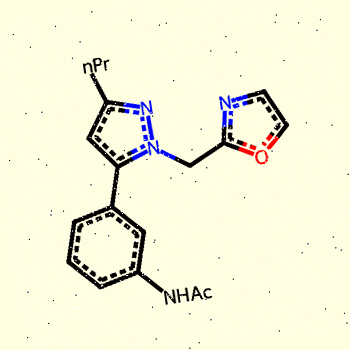 CCCc1cc(-c2cccc(NC(C)=O)c2)n(Cc2ncco2)n1